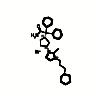 Cc1n([C@@H]2CC[C@H](C(C(N)=O)(c3ccccc3)c3ccccc3)C2)cc[n+]1CCCc1ccccc1.[Br-]